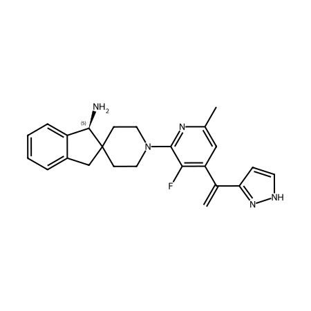 C=C(c1cc[nH]n1)c1cc(C)nc(N2CCC3(CC2)Cc2ccccc2[C@H]3N)c1F